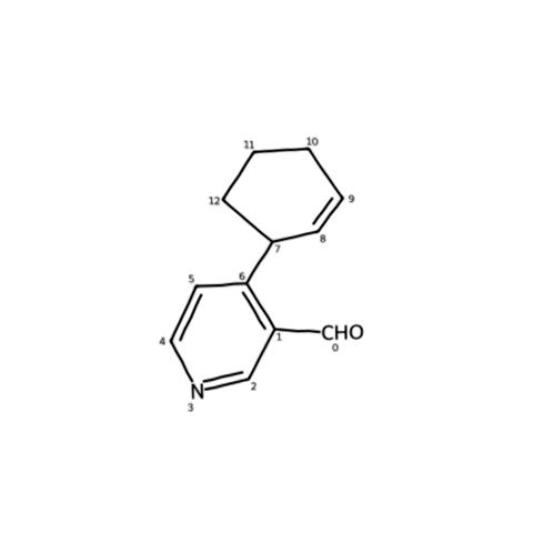 O=Cc1cnccc1C1C=CCCC1